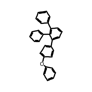 c1ccc(Oc2ccc(-c3cccc(-c4ccccc4)c3-c3ccccc3)cc2)cc1